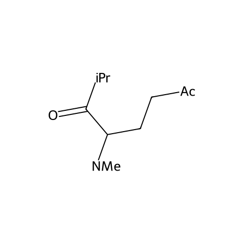 CNC(CCC(C)=O)C(=O)C(C)C